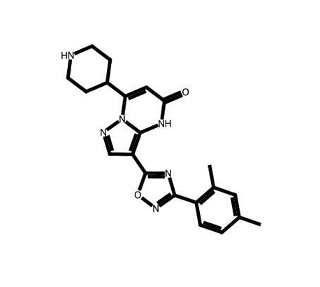 Cc1ccc(-c2noc(-c3cnn4c(C5CCNCC5)cc(=O)[nH]c34)n2)c(C)c1